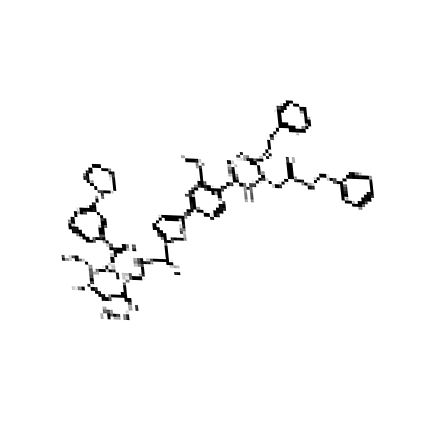 CCCCC[C@@H](C(=O)NCNC(=O)c1ccc(-c2ccc(C(=O)N[C@@H](CC(=O)OCc3ccccc3)C(=O)OCc3ccccc3)c(OCC)c2)o1)[C@@H](CC)N(C=O)OC(=O)c1cccc(N2CCCC2)c1